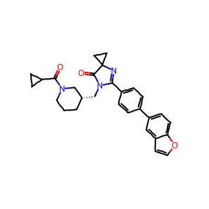 O=C(C1CC1)N1CCC[C@@H](CN2C(=O)C3(CC3)N=C2c2ccc(-c3ccc4occc4c3)cc2)C1